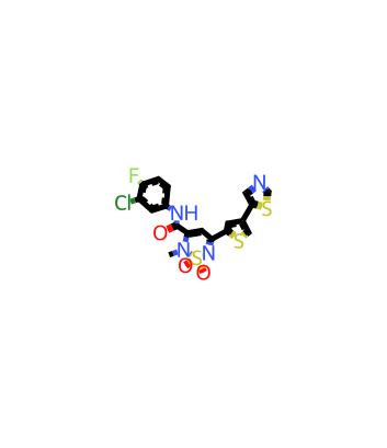 CN1C(C(=O)Nc2ccc(F)c(Cl)c2)=CC(c2cc(-c3cncs3)cs2)=NS1(=O)=O